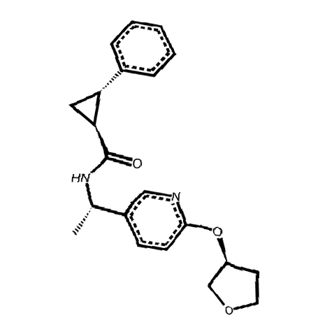 C[C@H](NC(=O)[C@H]1C[C@@H]1c1ccccc1)c1ccc(O[C@H]2CCOC2)nc1